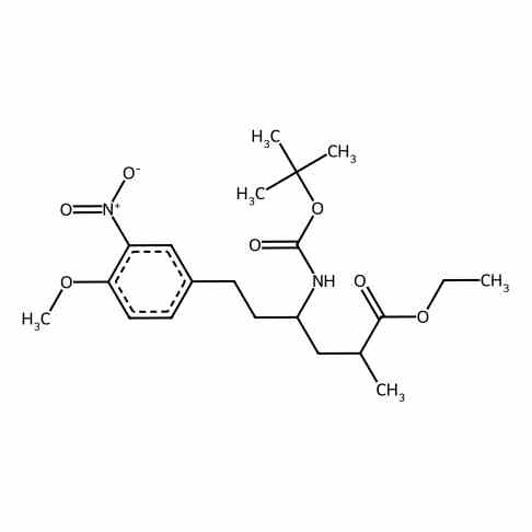 CCOC(=O)C(C)CC(CCc1ccc(OC)c([N+](=O)[O-])c1)NC(=O)OC(C)(C)C